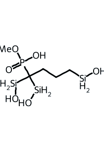 COP(=O)(O)C(CCC[SiH2]O)([SiH2]O)[SiH2]O